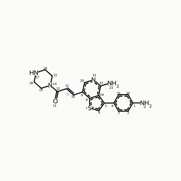 Nc1ccc(-c2csc3c(/C=C/C(=O)N4CCNCC4)cnc(N)c23)cc1